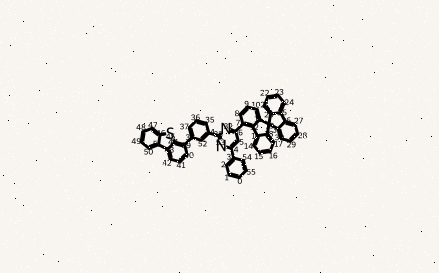 c1ccc(-c2cc(-c3cccc4c3-c3ccccc3C43c4ccccc4-c4ccccc43)nc(-c3cccc(-c4cccc5c4sc4ccccc45)c3)n2)cc1